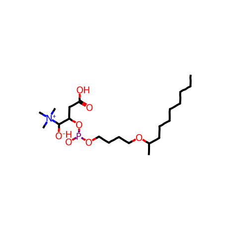 CCCCCCCCC(C)OCCCCOP(O)OC(CC(=O)O)C([O-])[N+](C)(C)C